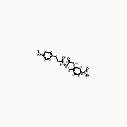 COc1ccc(CCC(=O)N[C@@H](Cc2ccc([N+](=O)[O-])cc2)C(=O)O)cc1